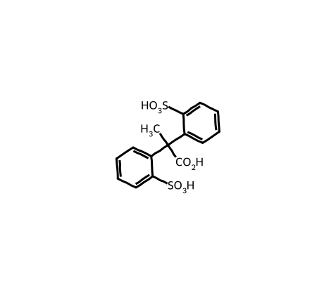 CC(C(=O)O)(c1ccccc1S(=O)(=O)O)c1ccccc1S(=O)(=O)O